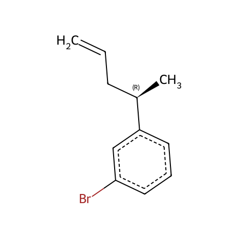 C=CC[C@@H](C)c1cccc(Br)c1